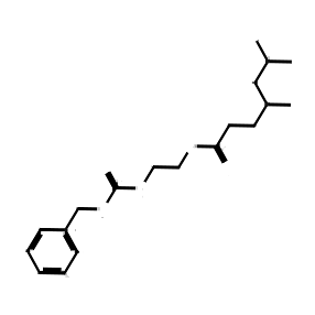 CC(C)CC(C)CCC(=O)NCCNC(=O)OCc1ccccc1